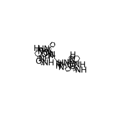 CN[C@@H](C)C(=O)N[C@H]1CCCC[C@H]2CC[C@@H](C(=O)N[C@@H](c3ccccc3)c3cn(CCCCn4cc([C@@H](NC(=O)[C@@H]5CC[C@@H]6CCCC[C@H](NC(=O)[C@H](C)NC)C(=O)N65)c5ccccc5)nn4)nn3)N2C1=O